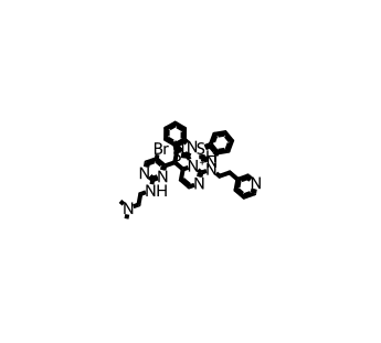 CN(C)CCNc1ncc(Br)c(C(C#N)C2C=CN=C(NCCc3cccnc3)[N+]2(c2nc3ccccc3s2)c2nc3ccccc3s2)n1